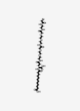 O=C(O)CCCCCCCCCCC(=O)N[C@@H](CCC(=O)NCCOCCOCC(=O)NCCOCCOCC(=O)NCCNC(=O)CBr)C(=O)O